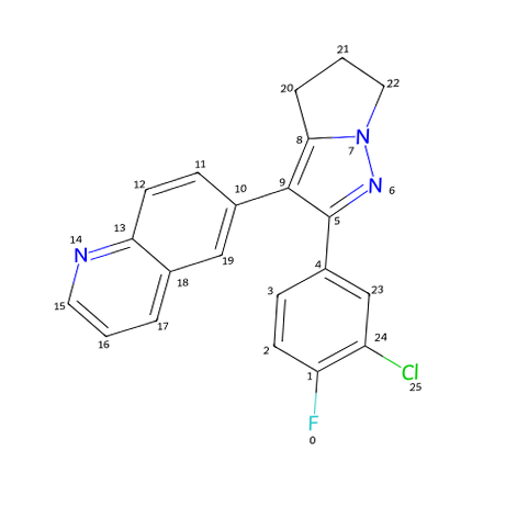 Fc1ccc(-c2nn3c(c2-c2ccc4ncccc4c2)CCC3)cc1Cl